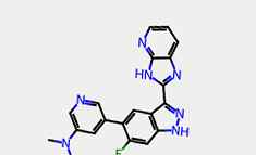 CN(C)c1cncc(-c2cc3c(-c4nc5cccnc5[nH]4)n[nH]c3cc2F)c1